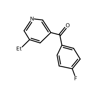 CCc1cncc(C(=O)c2ccc(F)cc2)c1